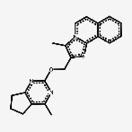 Cc1nc(OCc2nc3c4ccccc4ccn3c2C)nc2c1CCC2